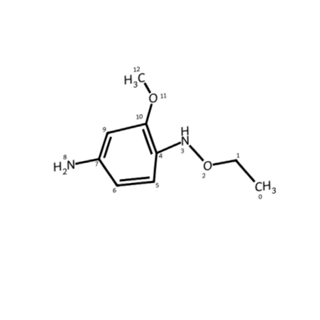 CCONc1ccc(N)cc1OC